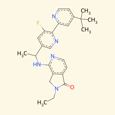 CCN1Cc2c(ccnc2NC(C)c2cnc(-c3cc(C(C)(C)C)ccn3)c(F)c2)C1=O